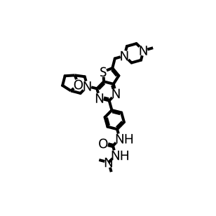 CN1CCN(Cc2cc3nc(-c4ccc(NC(=O)NN(C)C)cc4)nc(N4CC5CCC(C4)O5)c3s2)CC1